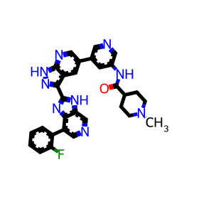 CN1CCC(C(=O)Nc2cncc(-c3cnc4[nH]nc(-c5nc6c(-c7ccccc7F)cncc6[nH]5)c4c3)c2)CC1